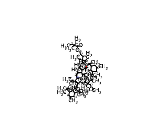 CCC(C)(C)C(=O)OCCCC(CC)(CC)C(=O)Nc1[nH]c(/C=C2\N=C(NC(=O)C(CC)(COC)COC)C(C(=O)OC3C(C(C)(C)C)CC(C)CC3C(C)(C)C)=C2C(C)C)c(C(C)C)c1C(=O)OC1C(C(C)(C)C)CC(C)CC1C(C)(C)C